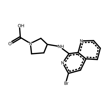 O=C(O)N1CCC(Nc2nc(Br)cc3cccnc23)C1